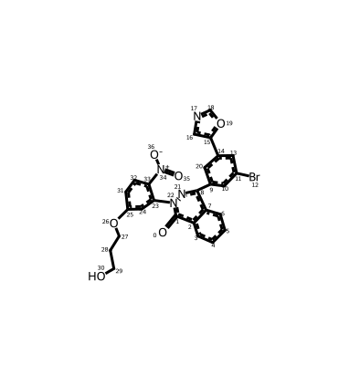 O=c1c2ccccc2c(-c2cc(Br)cc(-c3cnco3)c2)nn1-c1cc(OCCCO)ccc1[N+](=O)[O-]